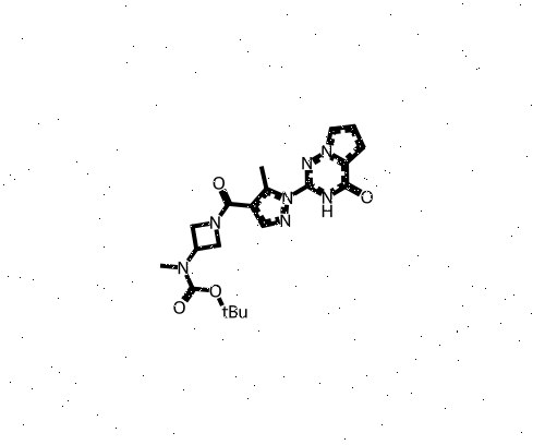 Cc1c(C(=O)N2CC(N(C)C(=O)OC(C)(C)C)C2)cnn1-c1nn2cccc2c(=O)[nH]1